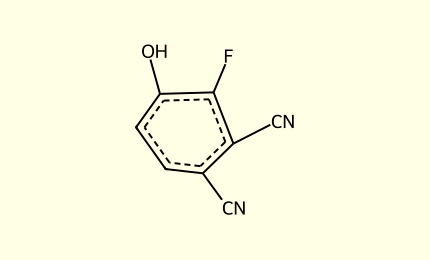 N#Cc1ccc(O)c(F)c1C#N